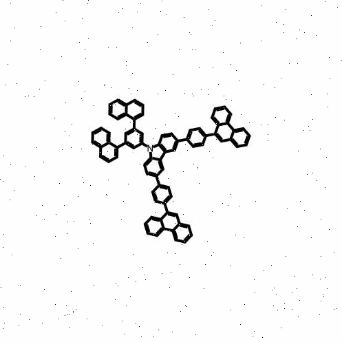 c1ccc2c(-c3cc(-c4cccc5ccccc45)cc(-n4c5ccc(-c6ccc(-c7cc8ccccc8c8ccccc78)cc6)cc5c5cc(-c6ccc(-c7cc8ccccc8c8ccccc78)cc6)ccc54)c3)cccc2c1